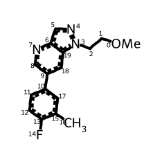 COCCn1ncc2ncc(-c3ccc(F)c(C)c3)cc21